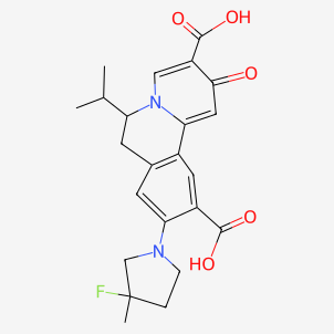 CC(C)C1Cc2cc(N3CCC(C)(F)C3)c(C(=O)O)cc2-c2cc(=O)c(C(=O)O)cn21